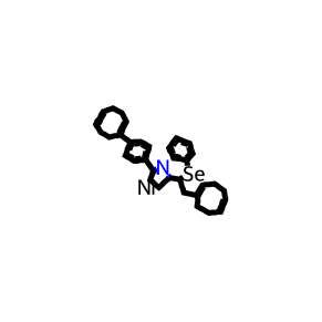 C1=CCCC(CC([Se]c2ccccc2)C2CCC(c3ccc(C4=CCCC=CCC4)cc3)=N2)=CCC1.[Ni]